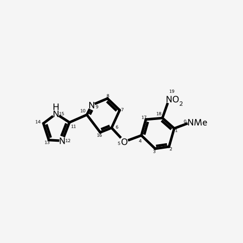 CNc1ccc(Oc2ccnc(-c3ncc[nH]3)c2)cc1[N+](=O)[O-]